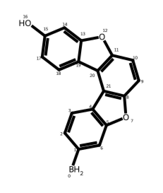 Bc1ccc2c(c1)oc1ccc3oc4cc(O)ccc4c3c12